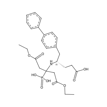 CCOC(=O)CC(CC(=O)OCC)(N[C@@H](CCC(=O)O)Cc1ccc(-c2ccccc2)cc1)P(=O)(O)O